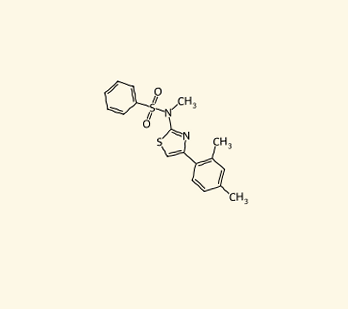 Cc1ccc(-c2csc(N(C)S(=O)(=O)c3ccccc3)n2)c(C)c1